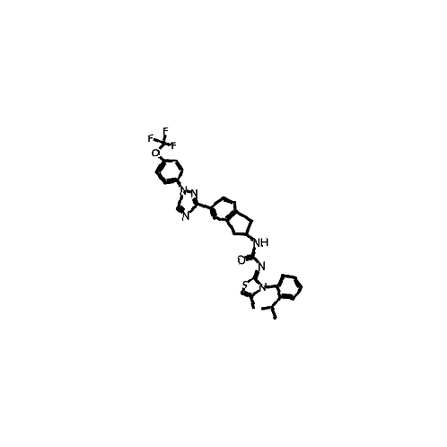 Cc1cs/c(=N\C(=O)NC2Cc3ccc(-c4ncn(-c5ccc(OC(F)(F)F)cc5)n4)cc3C2)n1-c1ccccc1C(C)C